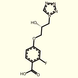 O=C(O)c1ccc(OC[C@H](O)Cn2cnnn2)cc1F